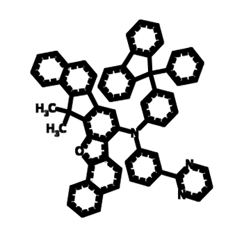 CC1(C)c2c(ccc3ccccc23)-c2cc(N(c3cccc(-c4ncccn4)c3)c3cccc(C4(c5ccccc5)c5ccccc5-c5ccccc54)c3)c3c(oc4c5ccccc5ccc43)c21